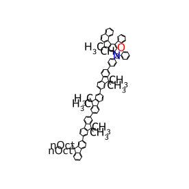 CCCCCCCCC1(CCCCCCCC)c2ccccc2-c2ccc(-c3ccc4c(c3)C(C)(C)c3cc(-c5ccc6c(c5)C(C)(C)c5cc(-c7ccc8c(c7)C(C)(C)c7cc(-c9ccc(N(c%10ccccc%10)c%10cc%11c(c%12c%10oc%10ccccc%10%12)-c%10c(ccc%12ccccc%10%12)C%11(C)C)cc9)ccc7-8)ccc5-6)ccc3-4)cc21